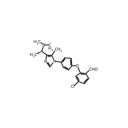 Cc1c([C@@H](C)N(C)C)ncn1-c1ccc(Oc2cc(Cl)ccc2C=O)cc1